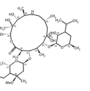 CC[C@H]1OC(=O)[C@H](C)[C@@H](O[C@H]2C[C@@](C)(OC)C(CO)[C@H](C)O2)[C@H](C)[C@@H](O[C@@H]2O[C@H](C)CC(N(C)C)[C@H]2O)[C@](C)(O)C[C@@H](C)CN[C@H](C)[C@@H](O)[C@]1(C)O